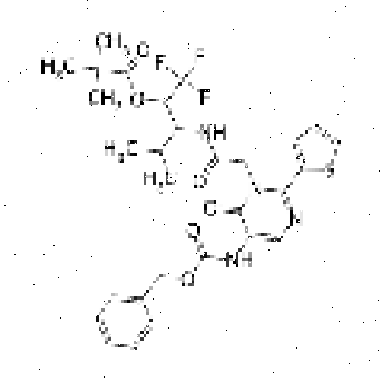 CC(C)C(NC(=O)Cn1c(-c2cccs2)ncc(NC(=O)OCc2ccccc2)c1=O)C(OC(=O)C(C)(C)C)C(F)(F)F